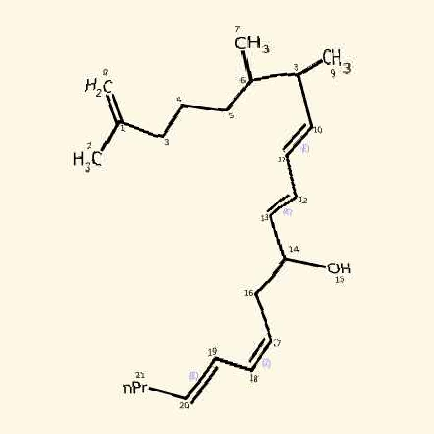 C=C(C)CCCC(C)C(C)/C=C/C=C/C(O)C/C=C\C=C\CCC